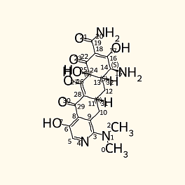 CN(C)c1ncc(O)c2c1C[C@H]1C[C@H]3[C@H](N)C(O)=C(C(N)=O)C(=O)[C@@]3(O)C(O)=C1C2=O